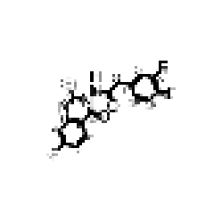 CCc1nc2cc(F)ccc2c(=O)n1NC(=O)Cc1ccc(F)c(F)c1